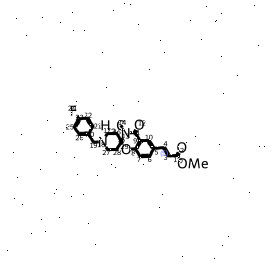 COC(=O)/C=C/c1ccc2c(c1)C(=O)N(C)C1(CCN(Cc3ccc(F)cc3)CC1)O2